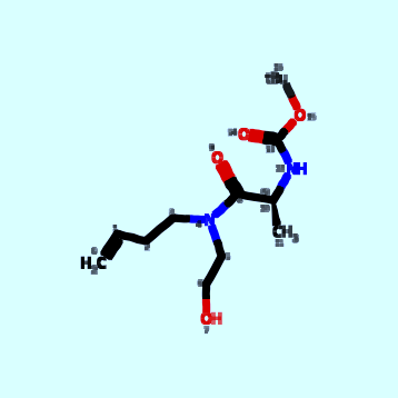 C=CCCN(CCO)C(=O)[C@H](C)NC(=O)OC(C)(C)C